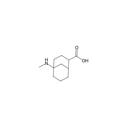 CNC12CCCC(C1)C(C(=O)O)CC2